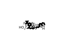 Cn1nc(CC(CC(=O)O)c2cc(Br)cc(C3(C(F)F)CC3)c2)cc1OCCc1ccc2c(n1)NCCC2